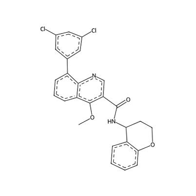 COc1c(C(=O)NC2CCOc3ccccc32)cnc2c(-c3cc(Cl)cc(Cl)c3)cccc12